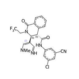 CN/C=C(\C=N)[C@@H]1[C@@H](C(=O)Nc2cc(Cl)cc(C#N)c2)c2ccccc2C(=O)N1CC(F)(F)F